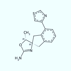 C[C@H]1OC(N)=N[C@@]12Cc1cccc(-c3cscn3)c1C2